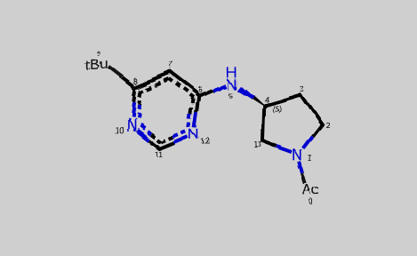 CC(=O)N1CC[C@H](Nc2cc(C(C)(C)C)ncn2)C1